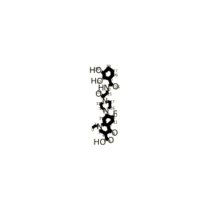 CCn1cc(C(=O)O)c(=O)c2cc(F)c(N3CCN(C(=O)CNC(=O)c4cccc(O)c4O)CC3)cc21